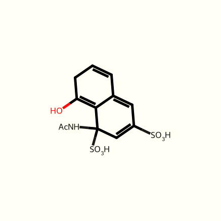 CC(=O)NC1(S(=O)(=O)O)C=C(S(=O)(=O)O)C=C2C=CCC(O)=C21